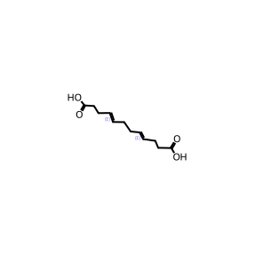 O=C(O)CC/C=C/CC/C=C/CCC(=O)O